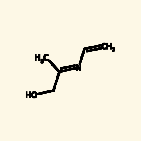 C=C/N=C(\C)CO